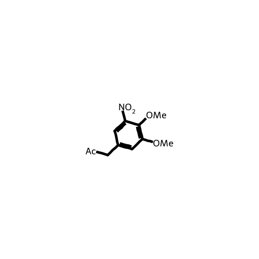 COc1cc(CC(C)=O)cc([N+](=O)[O-])c1OC